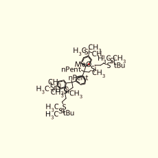 CCCCCC(C[Si](C)(C)CCCS[Si](C)(C)C(C)(C)C)(c1ccc([Si](C)(C)C)cc1)c1cccc(C(CCCCC)(C[Si](C)(CCCS[Si](C)(C)C(C)(C)C)OC)c2ccc([Si](C)(C)C)cc2)c1